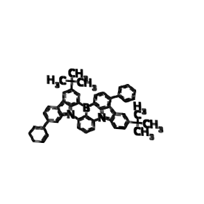 CC(C)(C)c1ccc2c(c1)c1c(-c3ccccc3)ccc3c1n2-c1cccc2c1B3c1cc(C(C)(C)C)cc3c4ccc(C5=CCCC=C5)cc4n-2c13